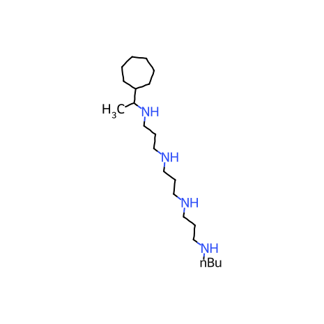 CCCCNCCCNCCCNCCCNC(C)C1CCCCCC1